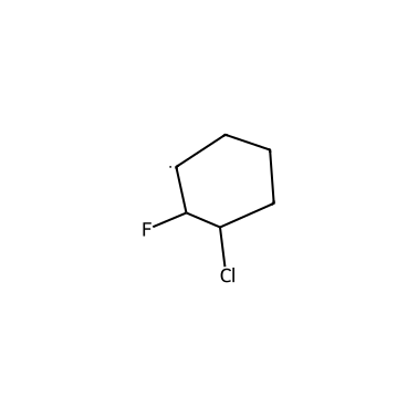 FC1[CH]CCCC1Cl